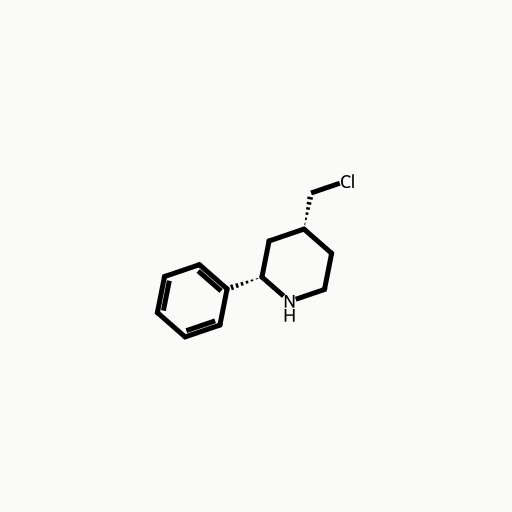 ClC[C@@H]1CCN[C@H](c2ccccc2)C1